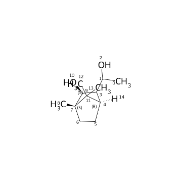 CC(O)C1[C@H]2CC[C@](C)([C@H]1O)C2(C)C